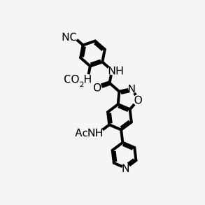 CC(=O)Nc1cc2c(C(=O)Nc3ccc(C#N)cc3C(=O)O)noc2cc1-c1ccncc1